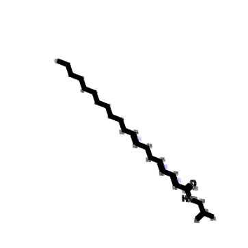 CCCCCCCCCCC/C=C/CC/C=C/C=C/C(=O)NCC(C)C